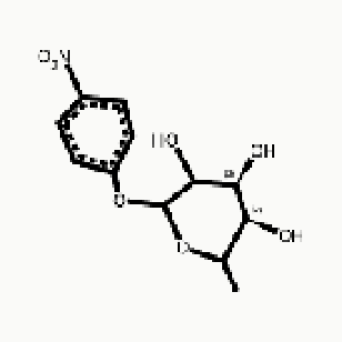 CC1OC(Oc2ccc([N+](=O)[O-])cc2)C(O)[C@@H](O)[C@H]1O